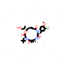 COc1ccc(C[C@H]2NC(=O)/C=C/C[C@@H](C(C)CO)OC(=O)[C@H](CC(C)(C)C)NC(=O)C(C)(C)[C@H](C)NC2=O)cc1Cl